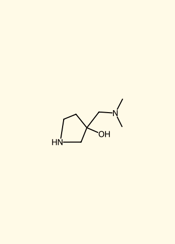 CN(C)CC1(O)CCNC1